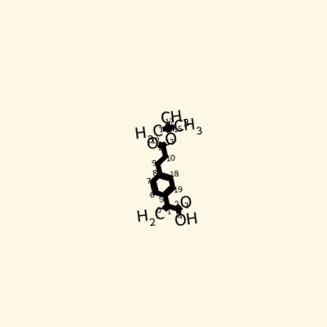 C=C(C(=O)O)c1ccc(CCC(=O)OC(C)(C)C)cc1